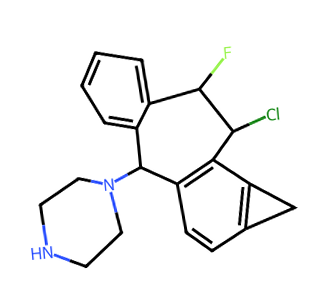 FC1c2ccccc2C(N2CCNCC2)c2ccc3c(c2C1Cl)C3